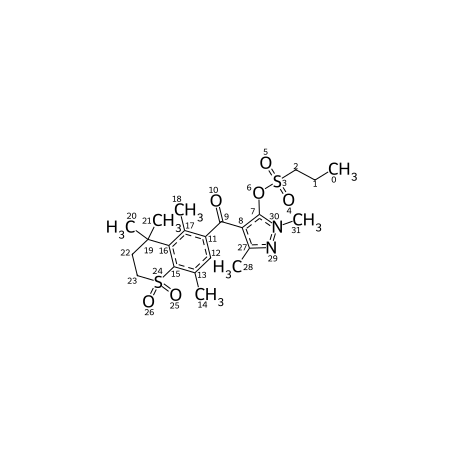 CCCS(=O)(=O)Oc1c(C(=O)c2cc(C)c3c(c2C)C(C)(C)CCS3(=O)=O)c(C)nn1C